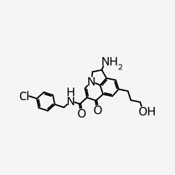 NC1Cn2cc(C(=O)NCc3ccc(Cl)cc3)c(=O)c3cc(CCCO)cc1c32